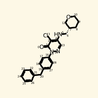 O=c1c(Cl)c(NC[C@H]2CCCOC2)cnn1-c1ccc(Cc2ccccc2)cc1